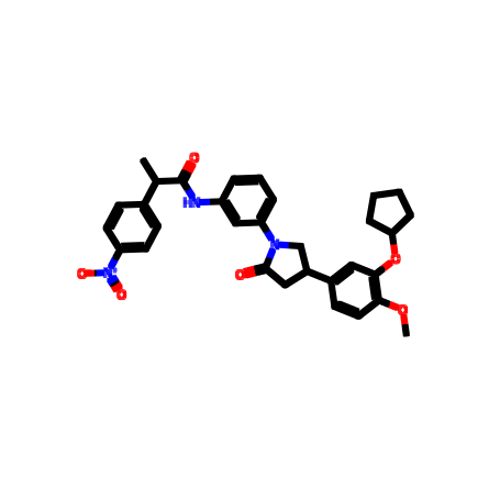 COc1ccc(C2CC(=O)N(c3cccc(NC(=O)C(C)c4ccc([N+](=O)[O-])cc4)c3)C2)cc1OC1CCCC1